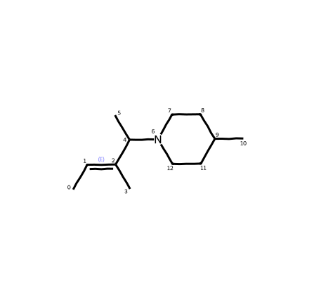 C/C=C(\C)C(C)N1CCC(C)CC1